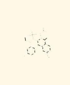 CC(C)Cn1c(C(NC(=O)O)C(C)(C)C)c(-c2ccc(Cl)cc2)c2cc(O)ccc2c1=O